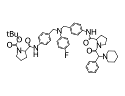 CC(C)(C)OC(=O)N1CCCC1C(=O)Nc1ccc(CN(Cc2ccc(NC(=O)C3CCCN3C(=O)C(c3ccccc3)N3CCCCC3)cc2)c2ccc(F)cc2)cc1